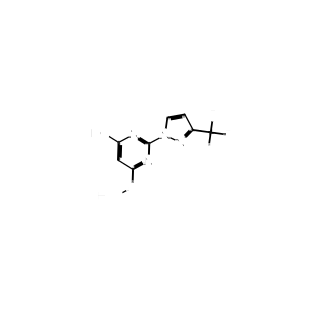 COc1cc(C)nc(-n2ccc(C(F)(F)F)n2)n1